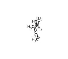 COc1ccc(COCC(C)(C)c2cc(NC(C)=O)on2)cc1